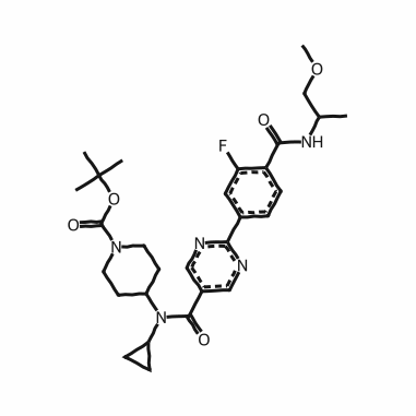 COCC(C)NC(=O)c1ccc(-c2ncc(C(=O)N(C3CC3)C3CCN(C(=O)OC(C)(C)C)CC3)cn2)cc1F